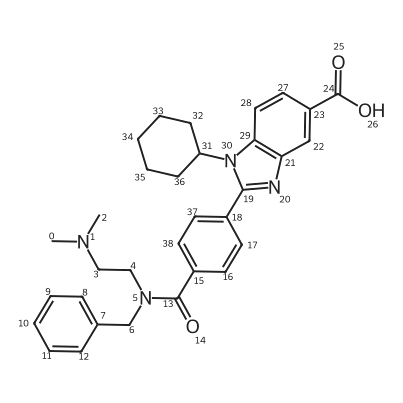 CN(C)CCN(Cc1ccccc1)C(=O)c1ccc(-c2nc3cc(C(=O)O)ccc3n2C2CCCCC2)cc1